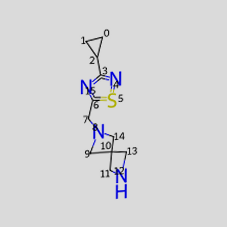 C1CC1c1nsc(CN2CC3(CNC3)C2)n1